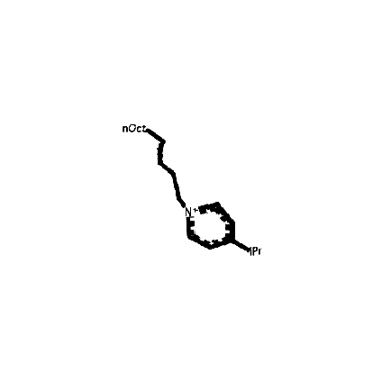 CCCCCCCCCCCC[n+]1ccc(C(C)C)cc1